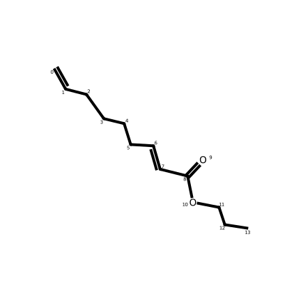 C=CCCCC/C=C/C(=O)OCCC